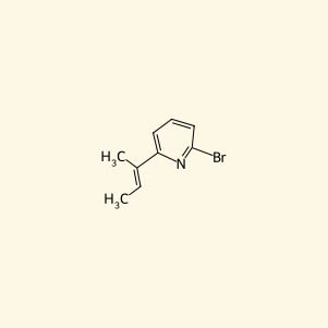 CC=C(C)c1cccc(Br)n1